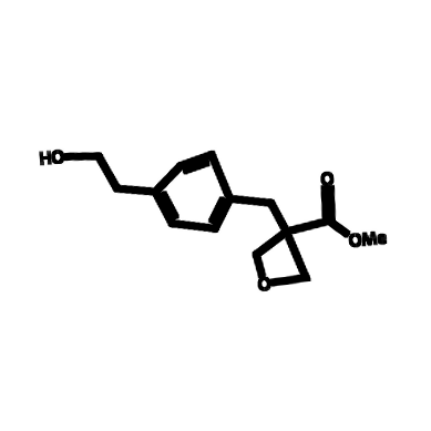 COC(=O)C1(Cc2ccc(CCO)cc2)COC1